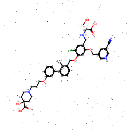 Cc1c(COc2cc(OCc3cncc(C#N)c3)c(CN[C@H](CO)C(=O)O)cc2Cl)cccc1-c1cccc(OCCCN2CCC(O)(C(=O)O)CC2)c1